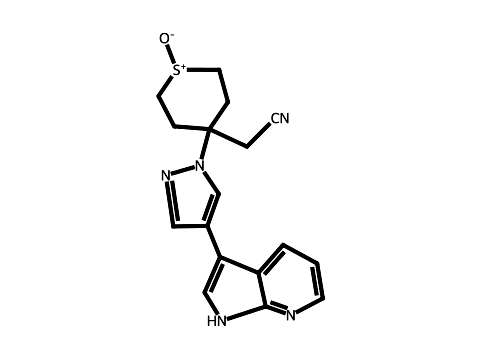 N#CCC1(n2cc(-c3c[nH]c4ncccc34)cn2)CC[S+]([O-])CC1